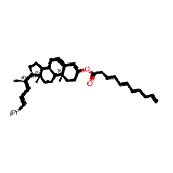 C=CCCCCCCCCC(=O)OC1CC[C@@]2(C)C(=CCC3C2CC[C@@]2(C)C3CC[C@@H]2[C@H](C)CCCC(C)C)C1